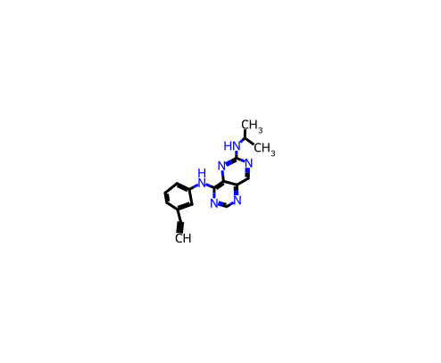 C#Cc1cccc(Nc2ncnc3cnc(NC(C)C)nc23)c1